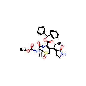 CC(C)CC(=C1CCNC1=O)C1=C(C(=O)OC(c2ccccc2)c2ccccc2)N2C(=O)[C@@H](NC(=O)OC(C)(C)C)[C@H]2[S@@+]([O-])C1